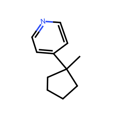 CC1(c2ccncc2)CCCC1